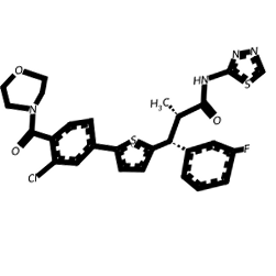 C[C@H](C(=O)Nc1nncs1)[C@H](c1cccc(F)c1)c1ccc(-c2ccc(C(=O)N3CCOCC3)c(Cl)c2)s1